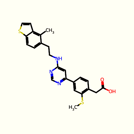 CSc1cc(-c2cc(NCCc3ccc4sccc4c3C)ncn2)ccc1CC(=O)O